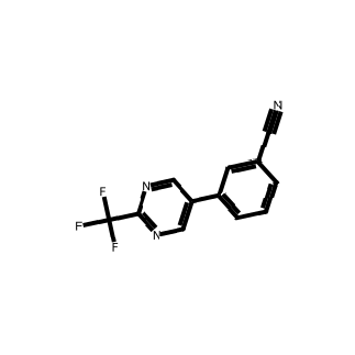 N#Cc1cccc(-c2cnc(C(F)(F)F)nc2)c1